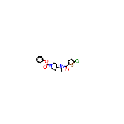 CC(NC(=O)c1ccc(Cl)s1)C1CCN(C(=O)Oc2ccccc2)CC1